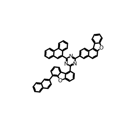 c1ccc2cc(-c3cccc4c3oc3cccc(-c5nc(-c6ccc7c(ccc8oc9ccccc9c87)c6)nc(-c6cc7ccccc7c7ccccc67)n5)c34)ccc2c1